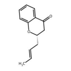 CC=CC[C@H]1CC(=O)c2ccccc2O1